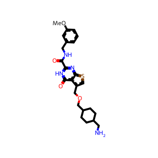 COc1cccc(CNC(=O)c2nc3scc(COCC4CCC(CN)CC4)c3c(=O)[nH]2)c1